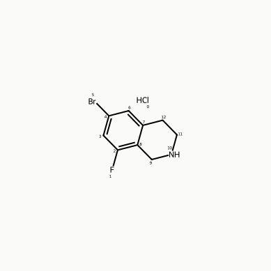 Cl.Fc1cc(Br)cc2c1CNCC2